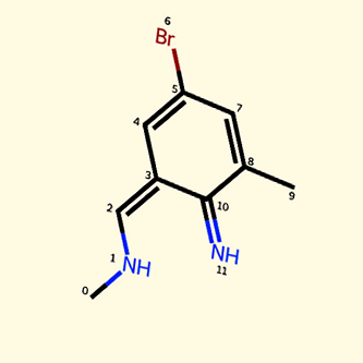 CN/C=C1/C=C(Br)C=C(C)C1=N